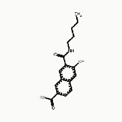 CCCCCNC(=O)c1cc2cc(C(=O)O)ccc2cc1O